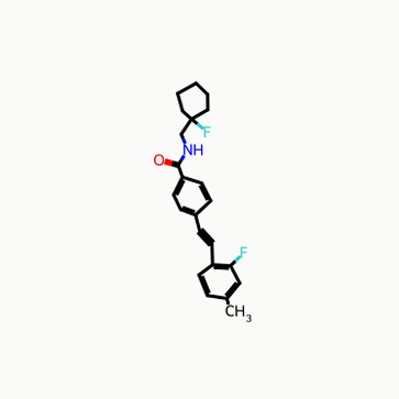 Cc1ccc(C#Cc2ccc(C(=O)NCC3(F)CCCCC3)cc2)c(F)c1